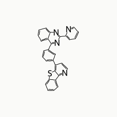 c1ccc(-c2nc(-c3cccc(-c4ccnc5c4sc4ccccc45)c3)c3ccccc3n2)nc1